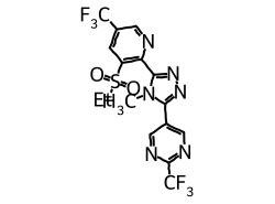 CCS(=O)(=O)c1cc(C(F)(F)F)cnc1-c1nnc(-c2cnc(C(F)(F)F)nc2)n1C